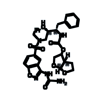 CC(C)CN(C[C@@H](O)[C@H](Cc1ccccc1)NC(=O)OC1CO[C@H]2OCC[C@@H]12)S(=O)(=O)c1ccc2onc(NC(N)=O)c2c1